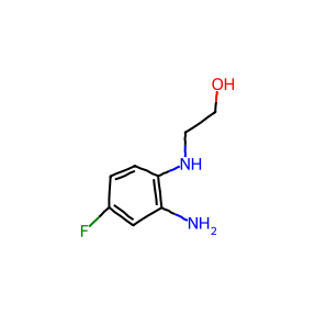 Nc1cc(F)ccc1NCCO